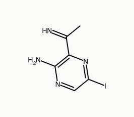 CC(=N)c1nc(I)cnc1N